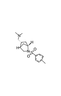 Cc1ccc(S(=O)(=O)N2C[C@H]3C[C@@H]2C[C@H]3CN(C)C)cc1